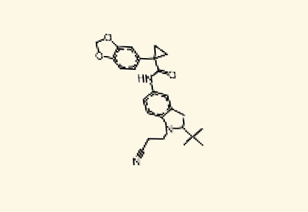 CC(C)(C)C1Cc2cc(NC(=O)C3(c4ccc5c(c4)OCO5)CC3)ccc2N1CCC#N